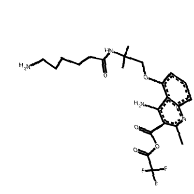 Cc1nc2cccc(OCC(C)(C)NC(=O)CCCCCN)c2c(N)c1C(=O)OC(=O)C(F)(F)F